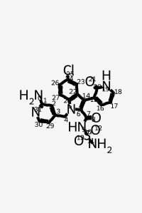 Nc1cc(Cn2c(C(=O)NS(N)(=O)=O)c(-c3ccc[nH]c3=O)c3cc(Cl)ccc32)ccn1